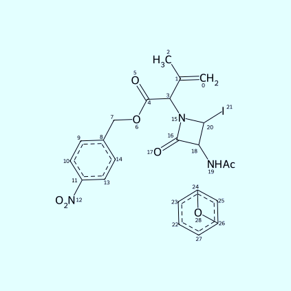 C=C(C)C(C(=O)OCc1ccc([N+](=O)[O-])cc1)N1C(=O)C(NC(C)=O)C1I.c1cc2cc(c1)O2